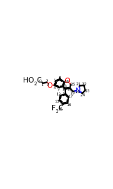 O=C(O)CCOc1ccc2c(c1)C(c1ccc(C(F)(F)F)cc1)=C(CN1CCCC1)CO2